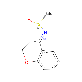 CC(C)(C)[S@@+]([O-])/N=C1\CCOc2ccccc21